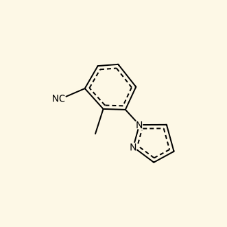 Cc1c(C#N)cccc1-n1cccn1